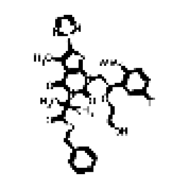 COc1ccc(F)cc1[C@H](Cn1c(=O)n(C(C)(C)C(=O)OCc2ccccc2)c(=O)c2c(C)c(-n3nccn3)sc21)OCCO